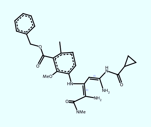 CNC(=O)/C(N)=C(/C=C(\N)NC(=O)C1CC1)Nc1ccc(C)c(C(=O)OCc2ccccc2)c1OC